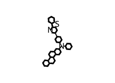 c1ccc(N(c2ccc(-c3cnc4c(c3)sc3ccccc34)cc2)c2ccc3c(ccc4c5ccccc5ccc34)c2)cc1